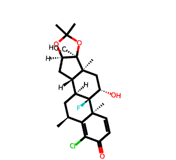 C[C@H]1C[C@H]2[C@@H]3C[C@H]4OC(C)(C)O[C@@]4(C(=O)O)[C@@]3(C)C[C@H](O)[C@]2(F)[C@@]2(C)C=CC(=O)C(Cl)=C12